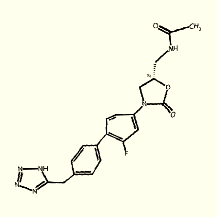 CC(=O)NC[C@H]1CN(c2ccc(-c3ccc(Cc4nnn[nH]4)cc3)c(F)c2)C(=O)O1